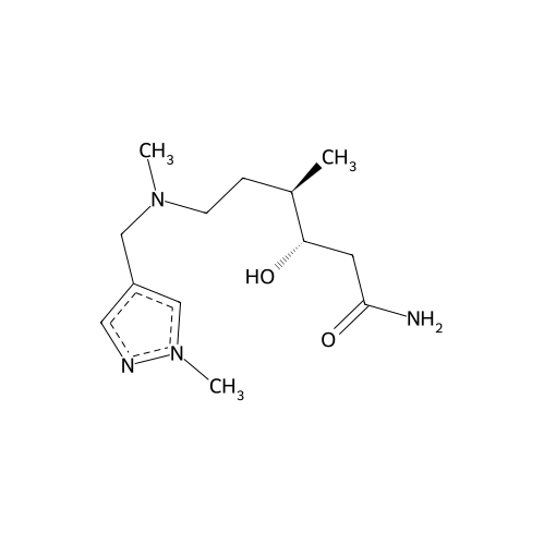 C[C@H](CCN(C)Cc1cnn(C)c1)[C@@H](O)CC(N)=O